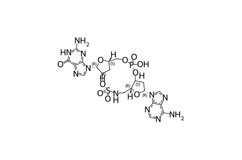 Nc1nc2c(ncn2[C@@H]2O[C@@H]3COP(=O)(O)O[C@H]4C[C@H](n5cnc6c(N)ncnc65)O[C@@H]4CNS(=O)(=O)O[C@@H]2C3)c(=O)[nH]1